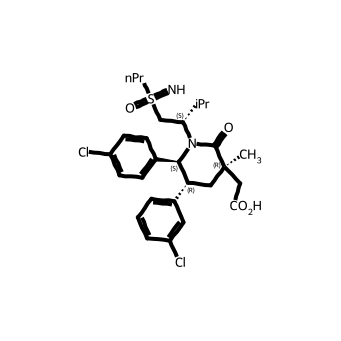 CCCS(=N)(=O)C[C@H](C(C)C)N1C(=O)[C@@](C)(CC(=O)O)C[C@H](c2cccc(Cl)c2)[C@H]1c1ccc(Cl)cc1